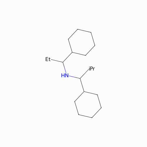 CCC(NC(C(C)C)C1CCCCC1)C1CCCCC1